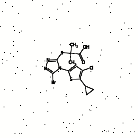 CC(C)(Sc1nnc(Br)n1-c1cc(Cl)c(C2CC2)s1)C(=O)O